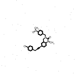 CN1C(=O)N(Cc2ccc([S+](C)[O-])cc2)Cc2cc(C#CCc3ccc(Cl)cc3)ccc21